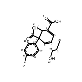 CC1C(C(=O)O)=CC=CC1(C(=O)O)c1ccc(F)cc1.CCCO